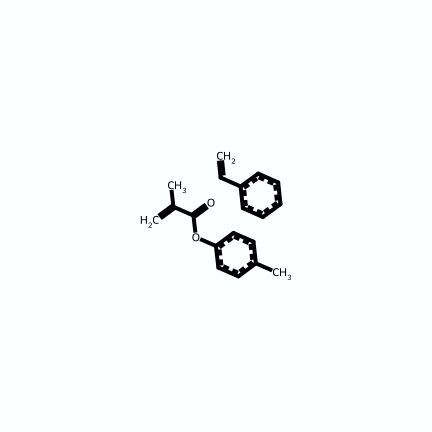 C=C(C)C(=O)Oc1ccc(C)cc1.C=Cc1ccccc1